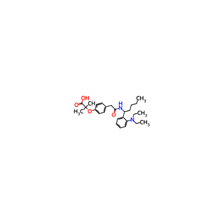 CCCCC(NC(=O)Cc1ccc(OC(C)(C)C(=O)O)cc1)c1ccccc1N(CC)CC